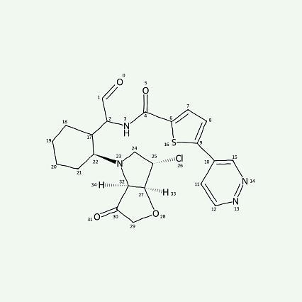 O=CC(NC(=O)c1ccc(-c2ccnnc2)s1)C1CCCC[C@@H]1N1C[C@H](Cl)[C@H]2OCC(=O)[C@H]21